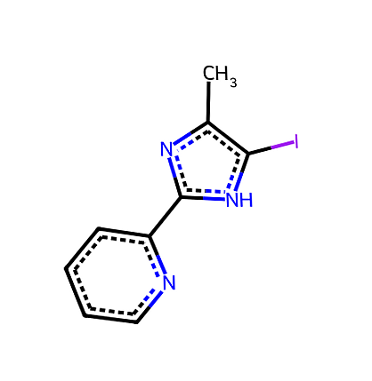 Cc1nc(-c2ccccn2)[nH]c1I